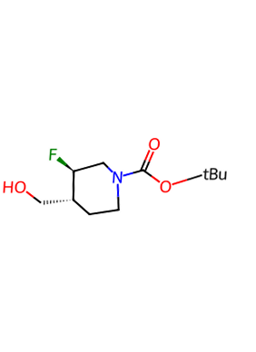 CC(C)(C)OC(=O)N1CC[C@H](CO)[C@@H](F)C1